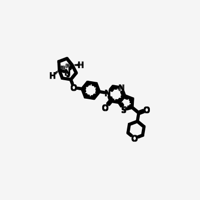 CN1[C@@H]2CC[C@H]1CC(Oc1ccc(-n3cnc4cc(C(=O)C5CCOCC5)sc4c3=O)cc1)C2